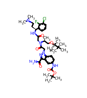 C[C@H](CO[Si](C)(C)C(C)(C)C)N(CC(=O)N[C@@H](CCN(C)C)c1cccc(Cl)c1F)C(=O)Cn1nc(C(N)=O)c2cc(NC(=O)OC(C)(C)C)ccc21